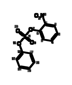 O=[N+]([O-])c1ccccc1OS(=O)(=O)Oc1ccccc1